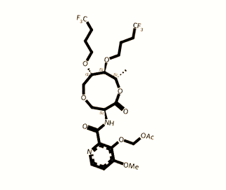 COc1ccnc(C(=O)N[C@H]2COC[C@H](OCCCC(F)(F)F)[C@@H](OCCCC(F)(F)F)[C@H](C)OC2=O)c1OCOC(C)=O